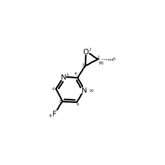 C[C@H]1OC1c1ncc(F)cn1